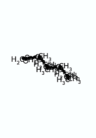 C=CC(=O)OCCCC[SiH2]O[Si](C)(C)CCCC[SiH2]O[Si](C)(C)CCCC[SiH2]O[Si](C)(C)CCCC[SiH2]O[Si](C)(C)C